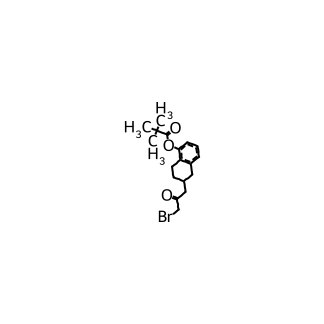 CC(C)(C)C(=O)Oc1cccc2c1CCC(CC(=O)CBr)C2